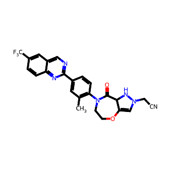 Cc1cc(-c2ncc3cc(C(F)(F)F)ccc3n2)ccc1N1CCOC2=CN(CC#N)NC2C1=O